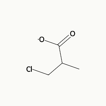 CC(CCl)C([O])=O